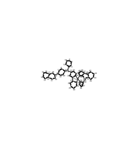 c1ccc(N(c2ccc(-c3ccc4ccccc4c3)cc2)c2ccc3c(c2)-c2ccccc2C32c3ccccc3-n3c4ccccc4c4cccc2c43)cc1